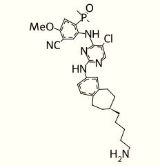 COc1cc(P(C)(C)=O)c(Nc2nc(Nc3ccc4c(c3)CC[C@@H](CCCCCN)CC4)ncc2Cl)cc1C#N